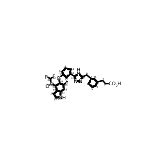 O=C(O)CCc1cccc(Cc2nnc(-c3cccc(Oc4c(F)cc5[nH]ccc5c4[S+]([O-])C(F)F)c3)[nH]2)c1